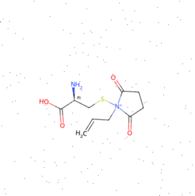 C=CC[N+]1(SC[C@H](N)C(=O)O)C(=O)CCC1=O